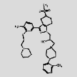 Cc1ccccc1N1CCN(CC(O)Cn2nc(-c3ccc(C(F)(F)F)c(SCCN4CCCCC4)c3)c3c2CCN(S(C)(=O)=O)C3)CC1